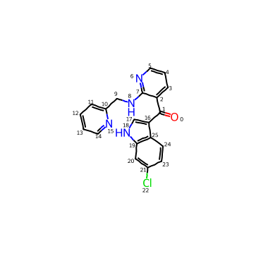 O=C(c1cccnc1NCc1ccccn1)c1c[nH]c2cc(Cl)ccc12